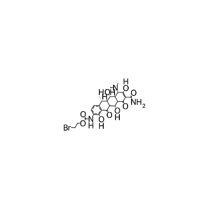 C[C@H]1c2ccc(NC(=O)OCCBr)c(O)c2C(=O)C2C(O)C3C(=O)C(C(N)=O)=C(O)[C@@H](N(C)C)[C@@H]3[C@@H](O)[C@@H]21